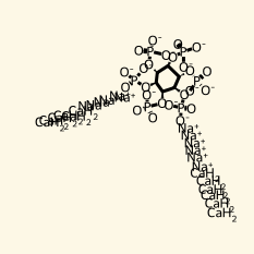 O=P([O-])([O-])O[C@H]1[C@H](OP(=O)([O-])[O-])[C@@H](OP(=O)([O-])[O-])[C@H](OP(=O)([O-])[O-])[C@@H](OP(=O)([O-])[O-])[C@H]1OP(=O)([O-])[O-].[CaH2].[CaH2].[CaH2].[CaH2].[CaH2].[CaH2].[CaH2].[CaH2].[CaH2].[CaH2].[CaH2].[CaH2].[Na+].[Na+].[Na+].[Na+].[Na+].[Na+].[Na+].[Na+].[Na+].[Na+].[Na+].[Na+]